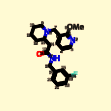 COc1ncccc1CN1CCCCC1CC(=O)NCc1cccc(F)c1